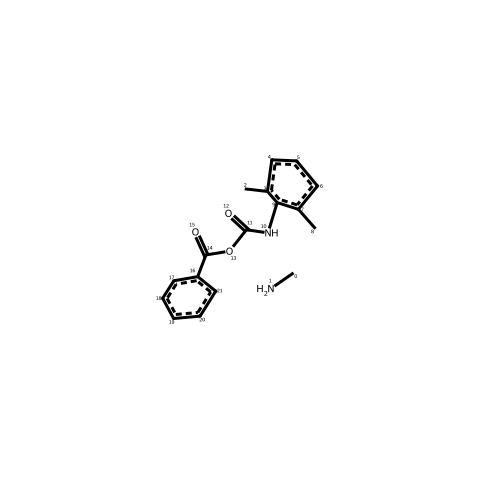 CN.Cc1cccc(C)c1NC(=O)OC(=O)c1ccccc1